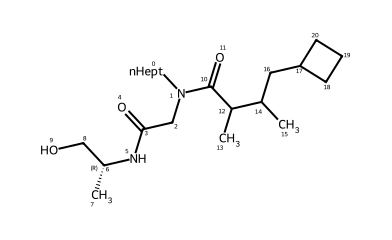 CCCCCCCN(CC(=O)N[C@H](C)CO)C(=O)C(C)C(C)CC1CCC1